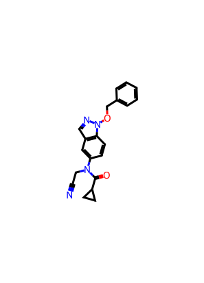 N#CCN(C(=O)C1CC1)c1ccc2c(cnn2OCc2ccccc2)c1